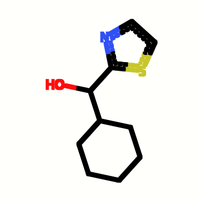 OC(c1nccs1)C1CCCCC1